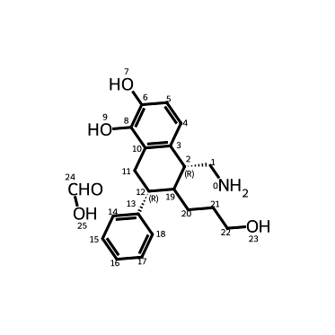 NC[C@H]1c2ccc(O)c(O)c2C[C@@H](c2ccccc2)C1CCCO.O=CO